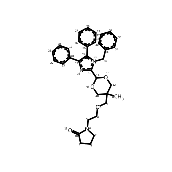 CC1(COCCN2CCCC2=O)COC(c2nc(-c3ccccc3)c(-c3ccccc3)n2Cc2ccccc2)OC1